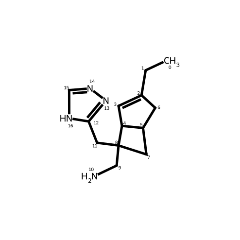 CCC1=CC2C(C1)CC2(CN)Cc1nnc[nH]1